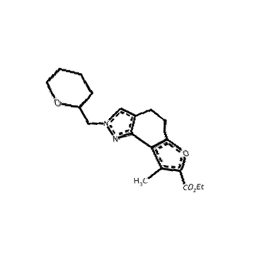 CCOC(=O)c1oc2c(c1C)-c1nn(CC3CCCCO3)cc1CC2